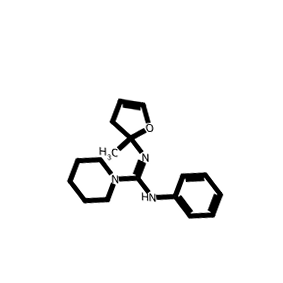 CC1(N=C(Nc2ccccc2)N2CCCCC2)CC=CO1